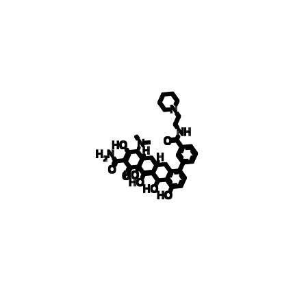 CN(C)[C@@H]1C(O)=C(C(N)=O)C(=O)[C@@]2(O)C(O)=C3C(O)c4c(O)ccc(-c5cccc(C(=O)NCCN6CCCCC6)c5)c4C[C@H]3C[C@@H]12